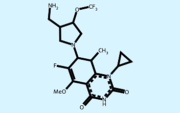 COC1=C(F)C(N2CC(CN)C(OC(F)(F)F)C2)C(C)c2c1c(=O)[nH]c(=O)n2C1CC1